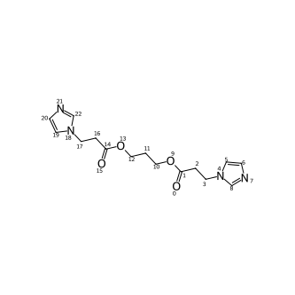 O=C(CCn1ccnc1)OCCCOC(=O)CCn1ccnc1